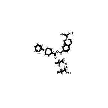 N=C(N)N1CCc2ccc(COC(=O)C3CCN(c4ccncc4)CC3)cc2C1.O=C(O)C(F)(F)F.O=C(O)C(F)(F)F